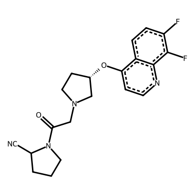 N#CC1CCCN1C(=O)CN1CC[C@H](Oc2ccnc3c(F)c(F)ccc23)C1